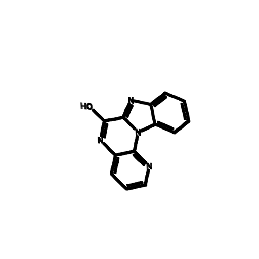 Oc1nc2cccnc2n2c1nc1ccccc12